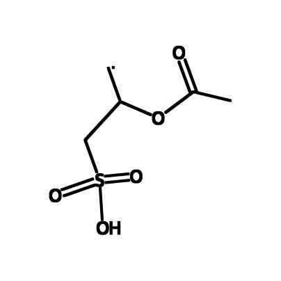 [CH2]C(CS(=O)(=O)O)OC(C)=O